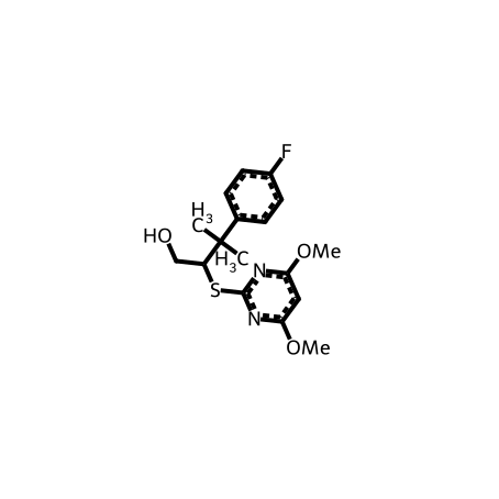 COc1cc(OC)nc(SC(CO)C(C)(C)c2ccc(F)cc2)n1